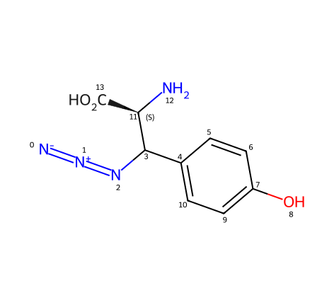 [N-]=[N+]=NC(c1ccc(O)cc1)[C@H](N)C(=O)O